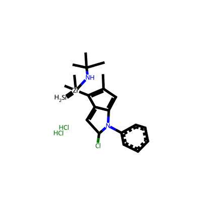 CC1=[C]([Zr]([CH3])([CH3])(=[SiH2])[NH]C(C)(C)C)C2=CC(Cl)N(c3ccccc3)C2=C1.Cl.Cl